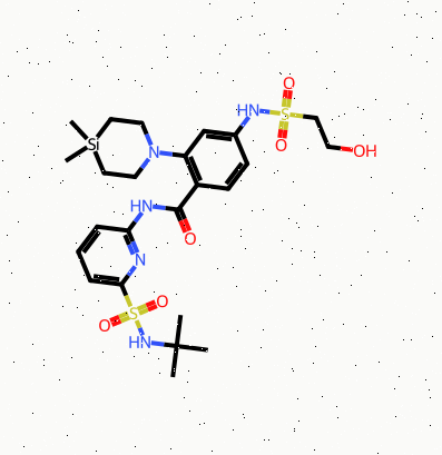 CC(C)(C)NS(=O)(=O)c1cccc(NC(=O)c2ccc(NS(=O)(=O)CCO)cc2N2CC[Si](C)(C)CC2)n1